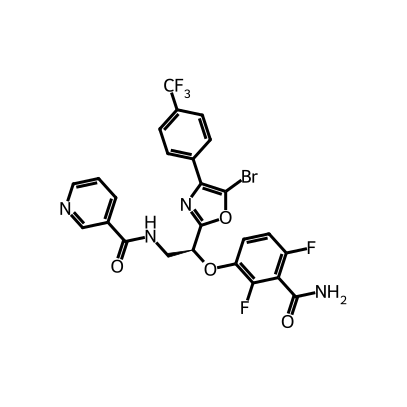 NC(=O)c1c(F)ccc(O[C@@H](CNC(=O)c2cccnc2)c2nc(-c3ccc(C(F)(F)F)cc3)c(Br)o2)c1F